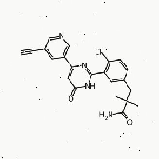 C#Cc1cncc(-c2cc(=O)[nH]c(-c3cc(CC(C)(C)C(N)=O)ccc3Cl)n2)c1